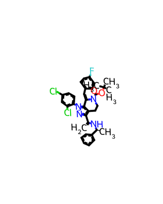 C=C(N[C@H](C)c1ccccc1)c1nn(-c2ccc(Cl)cc2Cl)c2c1CCN(C(=O)OC(C)(C)C)/C2=C\c1ccc(F)cc1